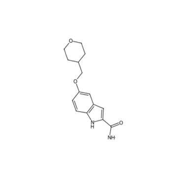 [NH]C(=O)c1cc2cc(OCC3CCOCC3)ccc2[nH]1